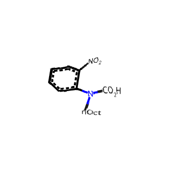 CCCCCCCCN(C(=O)O)c1ccccc1[N+](=O)[O-]